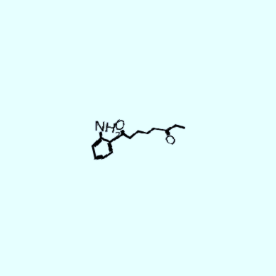 CCC(=O)CCCCC(=O)c1ccccc1N